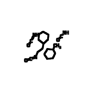 CC1CCCCC1.N=C=O.N=C=O.O=C=NCCC1CCCCC1